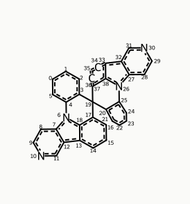 c1ccc2c(c1)-n1c3ccncc3c3cccc(c31)C21c2ccccc2-n2c3ccncc3c3cccc1c32